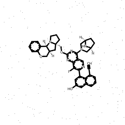 C#Cc1cccc2cc(O)cc(-c3ncc4c(N5C[C@H]6CC[C@@H](C5)N6)nc(OC[C@@]56CCCN5[C@@H]5c7ccccc7OC[C@@H]5C6)nc4c3F)c12